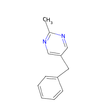 Cc1ncc(Cc2ccccc2)cn1